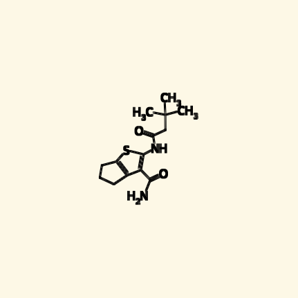 CC(C)(C)CC(=O)Nc1sc2c(c1C(N)=O)CCC2